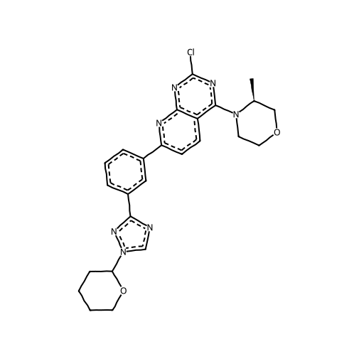 C[C@H]1COCCN1c1nc(Cl)nc2nc(-c3cccc(-c4ncn(C5CCCCO5)n4)c3)ccc12